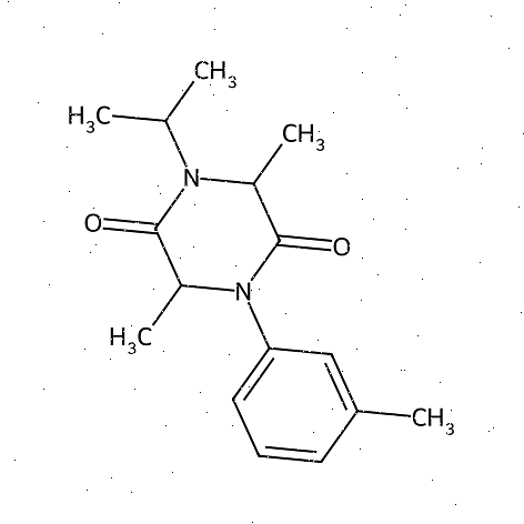 Cc1cccc(N2C(=O)C(C)N(C(C)C)C(=O)C2C)c1